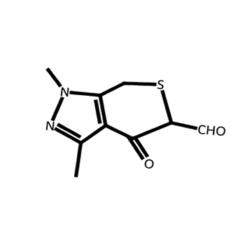 Cc1nn(C)c2c1C(=O)C(C=O)SC2